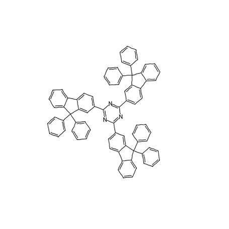 c1ccc(C2(c3ccccc3)c3ccccc3-c3ccc(-c4nc(-c5ccc6c(c5)C(c5ccccc5)(c5ccccc5)c5ccccc5-6)nc(-c5ccc6c(c5)C(c5ccccc5)(c5ccccc5)c5ccccc5-6)n4)cc32)cc1